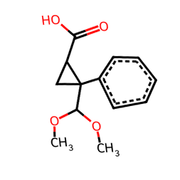 COC(OC)C1(c2ccccc2)CC1C(=O)O